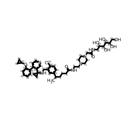 CC(CCCC(=O)NCCN1CCN(CC(=O)NC[C@H](O)[C@@H](O)[C@H](O)[C@H](O)CO)CC1)c1ccc(Cl)c(CNC2(c3cnccc3-c3ccccc3OC3CC3)CC2)c1